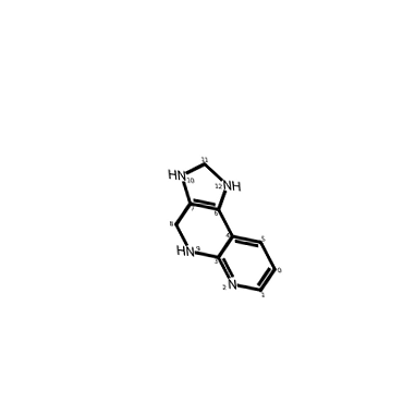 c1cnc2c(c1)C1=C(CN2)NCN1